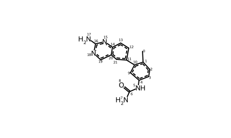 Cc1ccc(NC(N)=O)cc1-c1ccc2nc(N)ncc2c1